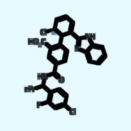 CCCC(NC(=O)c1ccc(C2C(c3nc4ccccc4[nH]3)=CC=C[C@@H]2Cl)c(C(=O)O)c1)c1ccc(Cl)cc1F